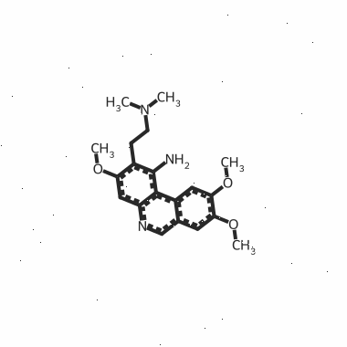 COc1cc2cnc3cc(OC)c(CCN(C)C)c(N)c3c2cc1OC